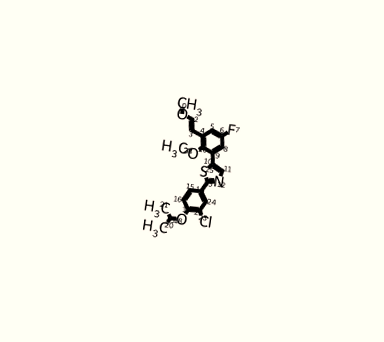 COC=Cc1cc(F)cc(-c2cnc(-c3ccc(OC(C)C)c(Cl)c3)s2)c1OC